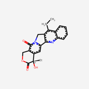 CC[C@@]1(O)C(=O)OCc2c1cc1n(c2=O)Cc2c-1nc1ccccc1c2[SiH2]C